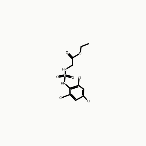 CCOC(=O)CNS(=O)(=O)Nc1c(Cl)cc(Cl)cc1Cl